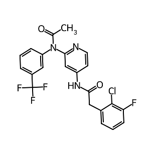 CC(=O)N(c1cccc(C(F)(F)F)c1)c1cc(NC(=O)Cc2cccc(F)c2Cl)ccn1